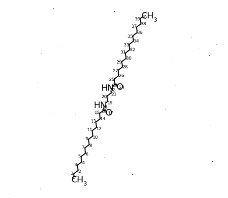 CCCCCCCCCCCCCCCCC(=O)NCCCNC(=O)CCCCCCCCCCCCCCCC